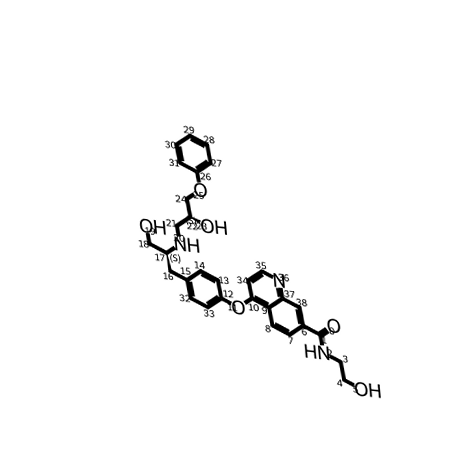 O=C(NCCO)c1ccc2c(Oc3ccc(C[C@@H](CO)NC[C@H](O)COc4ccccc4)cc3)ccnc2c1